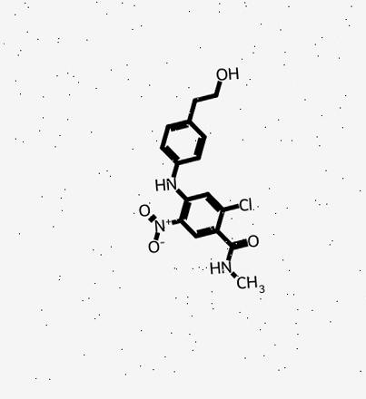 CNC(=O)c1cc([N+](=O)[O-])c(Nc2ccc(CCO)cc2)cc1Cl